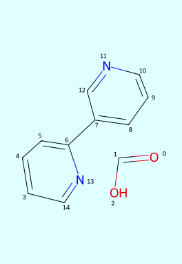 O=CO.c1ccc(-c2cccnc2)nc1